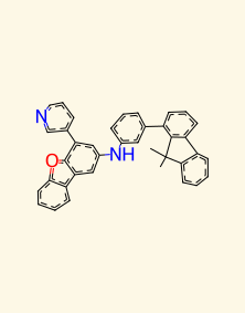 CC1(C)c2ccccc2-c2cccc(-c3cccc(Nc4cc(-c5cccnc5)c5oc6ccccc6c5c4)c3)c21